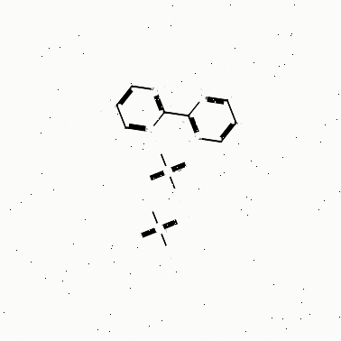 O=S(=O)([O-])[O-].O=S(=O)([O-])[O-].[Pt+4].c1cnc(-c2ncccn2)nc1